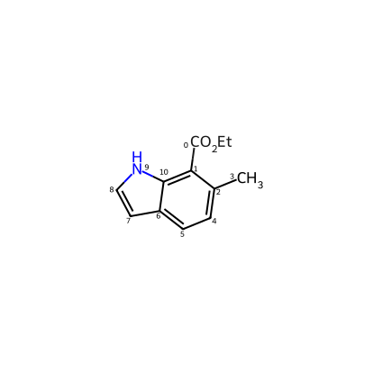 CCOC(=O)c1c(C)ccc2cc[nH]c12